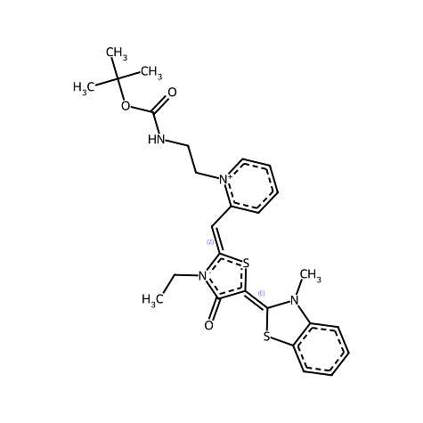 CCn1c(=O)/c(=C2\Sc3ccccc3N2C)s/c1=C\c1cccc[n+]1CCNC(=O)OC(C)(C)C